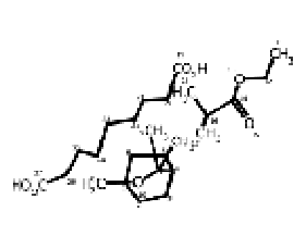 CC12CCC(CC1)C(C)(C)O2.CCOC(=O)C(C)C.O=C(O)CCCCCCCC(=O)O